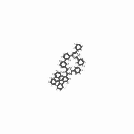 c1ccc(-c2cc(-c3cccc(-c4cccc(-c5cc(-c6ccc7c(c6)C(c6ccccc6)(c6ccccc6)c6ccccc6-7)nc(-c6ccccc6)n5)c4)c3)nc(-c3ccccc3)n2)cc1